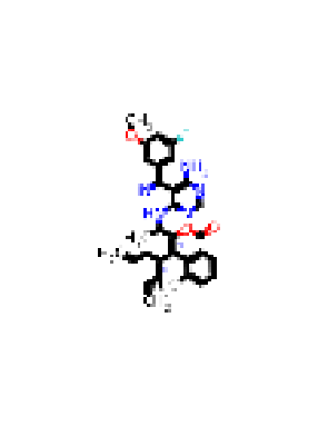 C=C/C=C(CC=C)/C(=C(/OC=O)C(C)Nc1ncnc(N)c1C(=N)c1cc(F)cc(OC)c1)c1ccccc1C